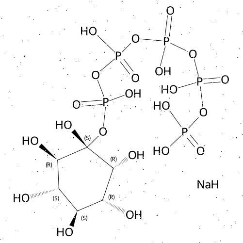 O=P(O)(O)OP(=O)(O)OP(=O)(O)OP(=O)(O)OP(=O)(O)O[C@]1(O)[C@H](O)[C@H](O)[C@@H](O)[C@H](O)[C@H]1O.[NaH]